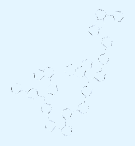 C1=CCCC(c2ccc(N(C3=CC=CC(c4cccc5ccccc45)C3)c3ccc(-c4cccc(-c5cccc6oc7c(C8=CCCC(c9ccc(N(C%10=c%11ccccc%11=C%11C=CCCC%11C%10)c%10cccc(-c%11ccc(-c%12cccc(-c%13cccc%14c%13oc%13c(-c%15ccccc%15)cccc%13%14)c%12)cc%11)c%10)cc9)=C8)cccc7c56)c4)cc3)cc2)=C1